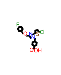 O=C(O)c1ccc(Cn2cc(COCc3ccc(F)cc3)nc2-c2ccc(Cl)s2)cc1